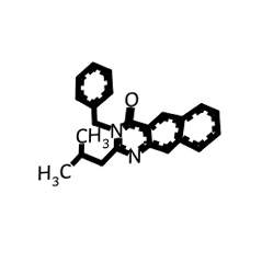 CC(C)Cc1nc2cc3ccccc3cc2c(=O)n1Cc1ccccc1